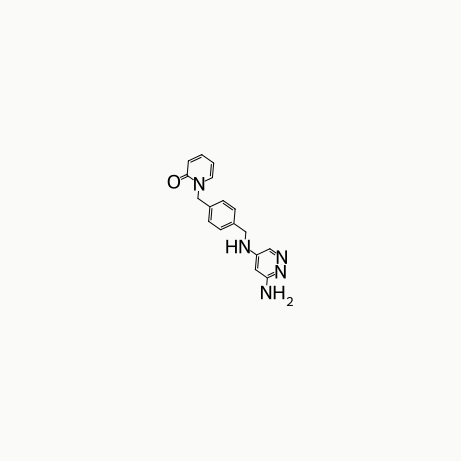 Nc1cc(NCc2ccc(Cn3ccccc3=O)cc2)cnn1